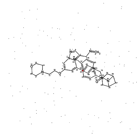 C=NCc1cnn2cc(OCCN3CCOCC3)cc(-c3ccc(N4CC5CC(C4)N5C(=O)Cc4ccc(C#N)cc4)nc3)c12